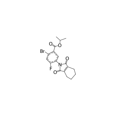 CC(C)OC(=O)c1cc(N2C(=O)C3=C(CCCC3)C2=O)c(F)cc1Br